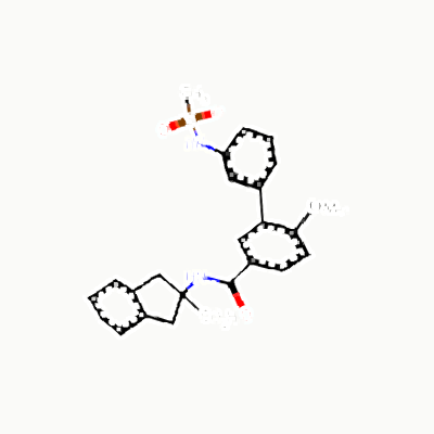 COc1ccc(C(=O)NC2(C(=O)O)Cc3ccccc3C2)cc1-c1cccc(NS(C)(=O)=O)c1